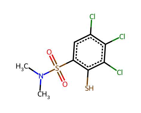 CN(C)S(=O)(=O)c1cc(Cl)c(Cl)c(Cl)c1S